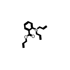 C=CCOC(=O)c1ccccc1N(CC=C)CC=C